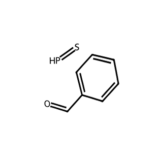 O=Cc1ccccc1.P=S